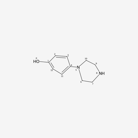 Oc1c[c]c(N2CCNCC2)cc1